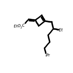 CCOC(=O)/C=C1/C=C(CC(CC)CCCC(C)C)C1